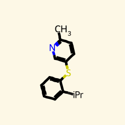 Cc1ccc(Sc2ccccc2C(C)C)cn1